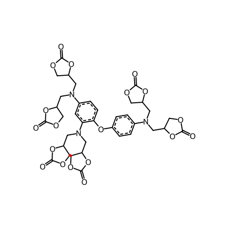 O=C1OCC(CN(CC2COC(=O)O2)c2ccc(Oc3ccc(N(CC4COC(=O)O4)CC4COC(=O)O4)cc3N(CC3COC(=O)O3)CC3COC(=O)O3)cc2)O1